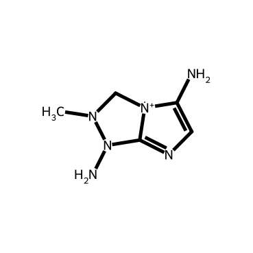 CN1C[N+]2C(N)=CN=C2N1N